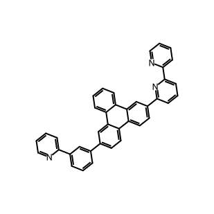 c1ccc(-c2cccc(-c3ccc4c5ccc(-c6cccc(-c7ccccn7)n6)cc5c5ccccc5c4c3)c2)nc1